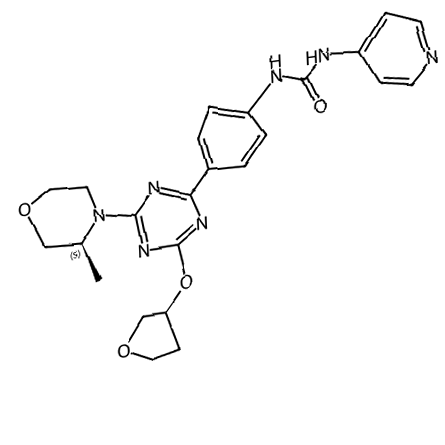 C[C@H]1COCCN1c1nc(OC2CCOC2)nc(-c2ccc(NC(=O)Nc3ccncc3)cc2)n1